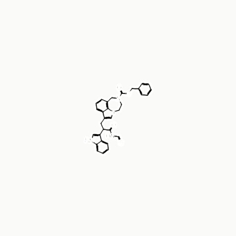 O=CNC(=O)C(Cc1cn2c3c(cccc13)CN(C(=O)OCc1ccccc1)CC2)c1c[nH]c2ccccc12